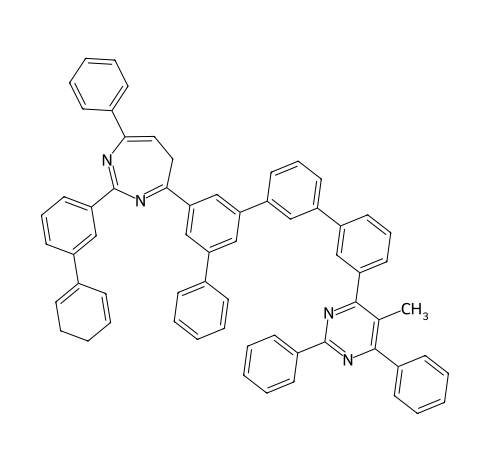 Cc1c(-c2ccccc2)nc(-c2ccccc2)nc1-c1cccc(-c2cccc(-c3cc(C4=NC(c5cccc(C6=CCCC=C6)c5)=NC(c5ccccc5)=CC4)cc(-c4ccccc4)c3)c2)c1